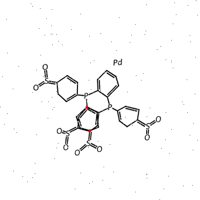 O=S(=O)=C1C=CC(P(C2=CCC(=S(=O)=O)C=C2)c2ccccc2P(C2=CCC(=S(=O)=O)C=C2)C2=CCC(=S(=O)=O)C=C2)=CC1.[Pd]